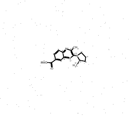 COC(=O)c1ccc2nc(C)c(N3CCC[C@H]3C)nc2c1